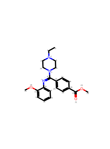 CCN1CCN(/C(=N/c2ccccc2OC)c2ccc(C(=O)OC)cc2)CC1